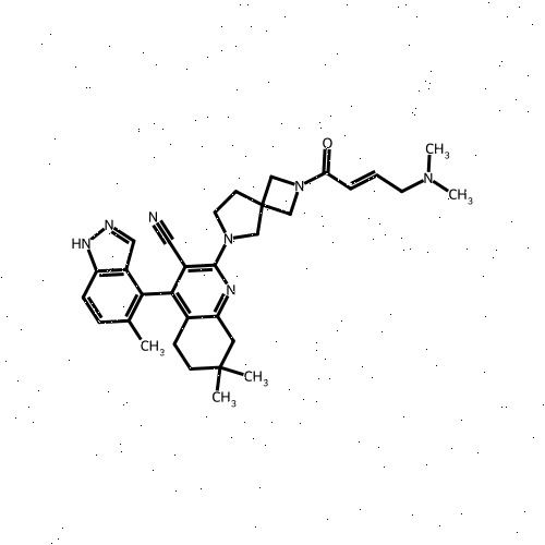 Cc1ccc2[nH]ncc2c1-c1c(C#N)c(N2CCC3(CN(C(=O)/C=C/CN(C)C)C3)C2)nc2c1CCC(C)(C)C2